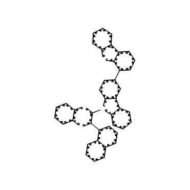 c1ccc2c(-c3nc4ccccc4nc3-n3c4ccccc4c4cc(-c5cccc6c5oc5ccccc56)ccc43)cccc2c1